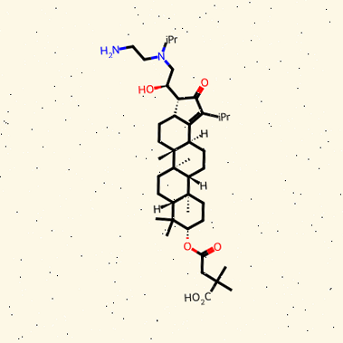 CC(C)C1=C2C(CC[C@]3(C)[C@@H]2CC[C@@H]2[C@@]4(C)CC[C@H](OC(=O)CC(C)(C)C(=O)O)C(C)(C)[C@@H]4CC[C@]23C)[C@H]([C@@H](O)CN(CCN)C(C)C)C1=O